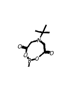 CB1OC(=O)CN(C(C)(C)C)CC(=O)O1